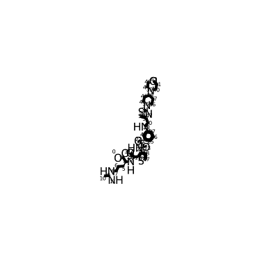 COC(=O)[C@H](CCCNC(C)=N)NC(=O)c1sccc1NS(=O)(=O)c1cccc(NCc2csc(N3CCC(N4CCOCC4)CC3)n2)c1